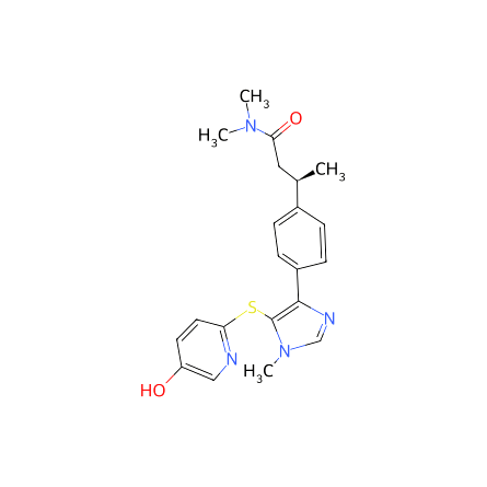 C[C@H](CC(=O)N(C)C)c1ccc(-c2ncn(C)c2Sc2ccc(O)cn2)cc1